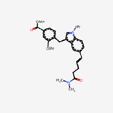 CCCn1cc(Cc2ccc(C(=O)OC)cc2OC)c2cc(C=CCCC(=O)N(C)C)ccc21